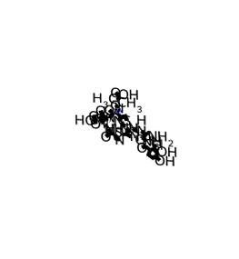 C[n+]1cc(-c2ncc(C(=O)NC[C@@H]3[C@H](NC(=O)/C(=N\OC(C)(C)C(=O)O)c4csc(N)n4)C(=O)N3S(=O)(=O)O)s2)cnc1NC(CN)CNC(=O)C1CC=C(O)C(O)=C1Cl